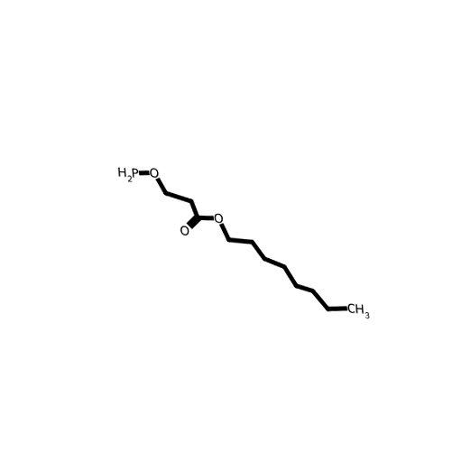 CCCCCCCCOC(=O)CCOP